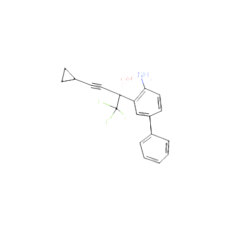 Nc1ccc(-c2ccccc2)cc1[C@](O)(C#CC1CC1)C(F)(F)F